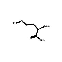 CCCSCC[C@@H](NC)C(N)=O